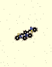 CN1/C(=C/C=C2\CCC(/C=C/c3sc4ccccc4[n+]3C)=C2N(c2ccccc2)c2ccccc2)Sc2ccccc21